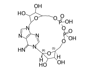 N=c1c2ncn3c2ncn1[C@@H]1O[C@@H](COP(=O)(O)OP(=O)(O)OCC2OC3C(O)C2O)C(O)C1O